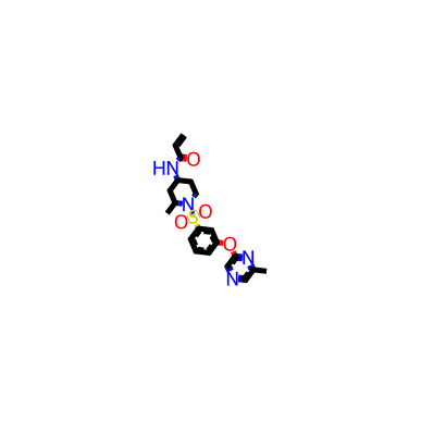 C=CC(=O)NC1CCN(S(=O)(=O)c2cccc(Oc3cncc(C)n3)c2)C(C)C1